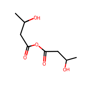 CC(O)CC(=O)OC(=O)CC(C)O